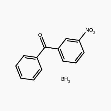 B.O=C(c1ccccc1)c1cccc([N+](=O)[O-])c1